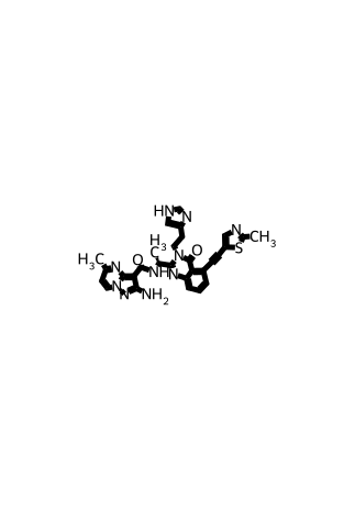 Cc1ccn2nc(N)c(C(=O)N[C@@H](C)c3nc4cccc(C#Cc5cnc(C)s5)c4c(=O)n3CCc3c[nH]cn3)c2n1